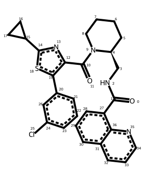 O=C(NC[C@@H]1CCCCN1C(=O)c1nc(C2CC2)sc1-c1cccc(Cl)c1)c1cccc2cccnc12